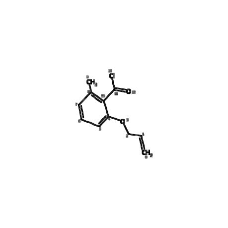 C=CCOc1cccc(C)c1C(=O)Cl